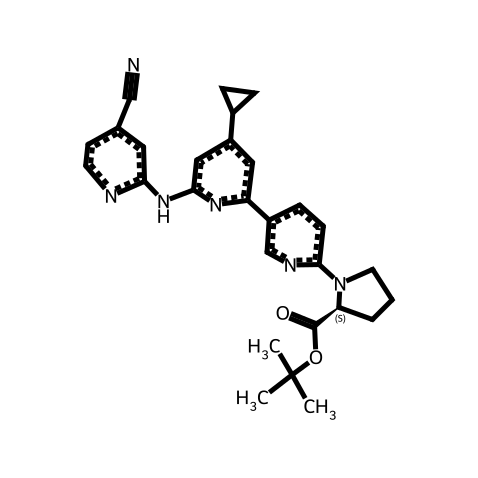 CC(C)(C)OC(=O)[C@@H]1CCCN1c1ccc(-c2cc(C3CC3)cc(Nc3cc(C#N)ccn3)n2)cn1